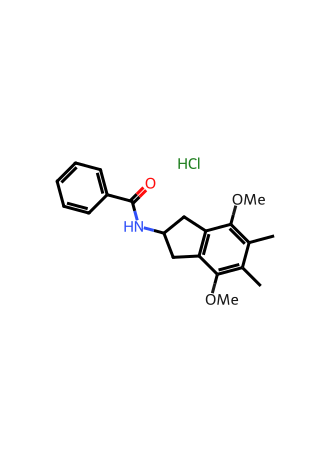 COc1c(C)c(C)c(OC)c2c1CC(NC(=O)c1ccccc1)C2.Cl